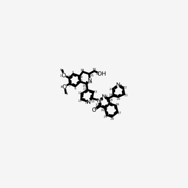 COc1cc2c(cc1OC)C(c1ccnc(-n3nc(-c4cccnc4)c4ccccc4c3=O)c1)=NC(CO)C2